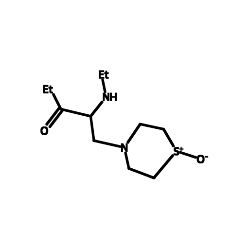 CCNC(CN1CC[S+]([O-])CC1)C(=O)CC